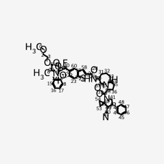 COCCOC(=O)[C@H](C)NP(=O)(Oc1ccccc1)[C@H](F)c1ccc2sc(C(=O)N[C@H]3CCC[C@H]4CC[C@@H](C(=O)N5C[C@H](c6ccccc6)[C@@H](C#N)C56CC6)N4C3=O)cc2c1